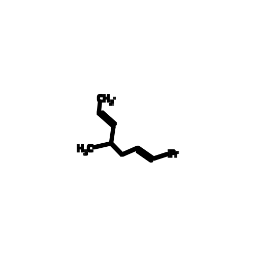 [CH2]C=CC(C)CC=CC(C)C